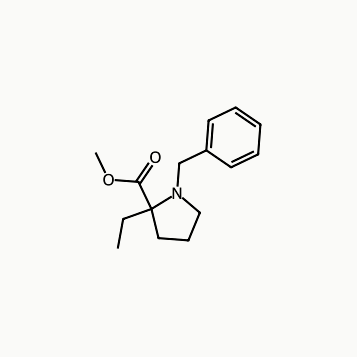 CCC1(C(=O)OC)CCCN1Cc1ccccc1